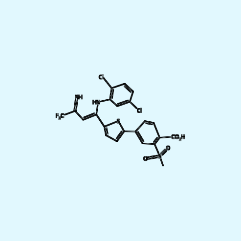 CS(=O)(=O)c1cc(-c2ccc(/C(=C/C(=N)C(F)(F)F)Nc3cc(Cl)ccc3Cl)s2)ccc1C(=O)O